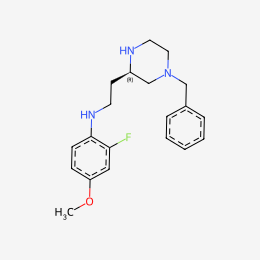 COc1ccc(NCC[C@@H]2CN(Cc3ccccc3)CCN2)c(F)c1